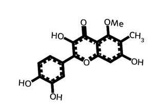 COc1c(C)c(O)cc2oc(-c3ccc(O)c(O)c3)c(O)c(=O)c12